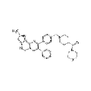 Cc1cc2ncc3cc(-c4ccccc4)c(-c4ccc(CN5CCC(C(=O)N6CCOCC6)CC5)cc4)nc3n2n1